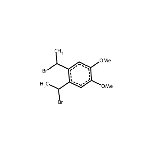 COc1cc(C(C)Br)c(C(C)Br)cc1OC